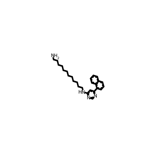 NCCCCCCCCCCCCNc1cc(-c2cccc3ccccc23)ncn1